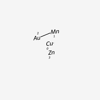 [Cu].[Mn][Au].[Zn]